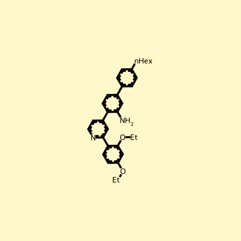 CCCCCCc1ccc(-c2ccc(-c3ccnc(-c4ccc(OCC)cc4OCC)c3)c(N)c2)cc1